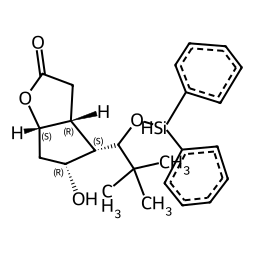 CC(C)(C)C(O[SiH](c1ccccc1)c1ccccc1)[C@H]1[C@H]2CC(=O)O[C@H]2C[C@H]1O